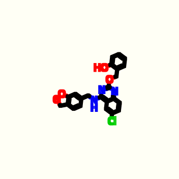 Oc1ccccc1COc1nc(NCc2ccc3c(c2)OOC3)c2cc(Cl)ccc2n1